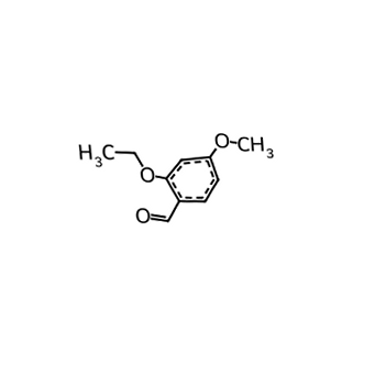 CCOc1cc(OC)ccc1C=O